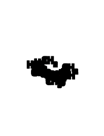 C=CCN1CC[C@]23c4c5ccc(OC(=O)CC(C)(CC)CC(=O)Oc6ccc7c8c6O[C@H]6C(=O)CC[C@@]9(O)[C@@H](C7)N(CC=C)CC[C@]869)c4O[C@H]2C(=O)CC[C@@]3(O)[C@H]1C5